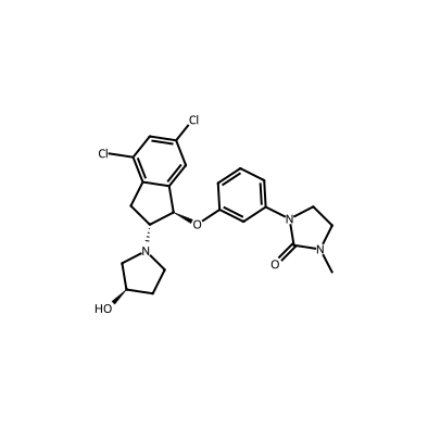 CN1CCN(c2cccc(O[C@@H]3c4cc(Cl)cc(Cl)c4C[C@H]3N3CC[C@@H](O)C3)c2)C1=O